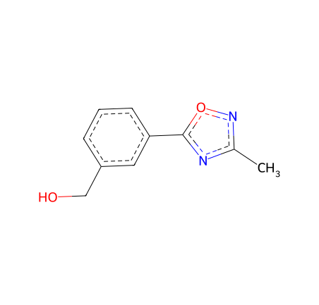 Cc1noc(-c2cccc(CO)c2)n1